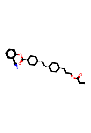 C=CC(=O)OCCC[C@H]1CC[C@H](CC[C@H]2CC[C@H](C(=O)Oc3ccccc3C#N)CC2)CC1